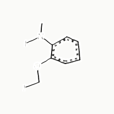 CN(I)c1ccccc1OCI